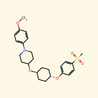 CS(=O)(=O)c1ccc(O[C@H]2CC[C@H](OC3CCN(c4ccc(OC(F)(F)F)cc4)CC3)CC2)cc1